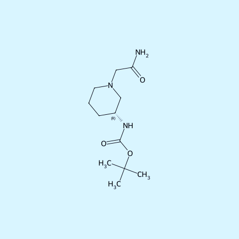 CC(C)(C)OC(=O)N[C@@H]1CCCN(CC(N)=O)C1